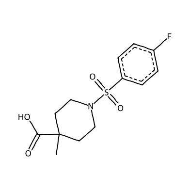 CC1(C(=O)O)CCN(S(=O)(=O)c2ccc(F)cc2)CC1